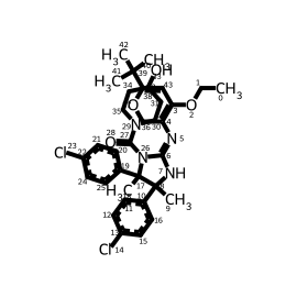 CCOC1=C(N=C2NC(C)(c3ccc(Cl)cc3)C(C)(c3ccc(Cl)cc3)N2C(=O)N2CCC(O)CC2)COC(C(C)(C)C)=C1